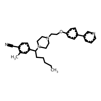 CCCCCC(c1ccc(C#N)c(C)c1)N1CCN(CCOc2ccc(-c3cccnc3)cc2)CC1